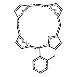 Ic1ccccc1-c1c2nc(cc3ccc(cc4nc(cc5ccc1[nH]5)C=C4)[nH]3)C=C2